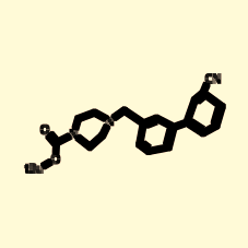 CC(C)(C)OC(=O)N1CCN(Cc2cccc(-c3cccc(C#N)c3)c2)CC1